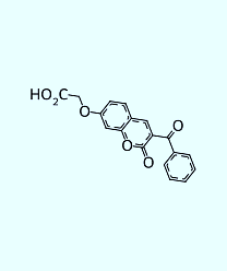 O=C(O)COc1ccc2cc(C(=O)c3ccccc3)c(=O)oc2c1